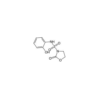 O=C1OCCN1S(=O)(=O)Nc1ccccc1O